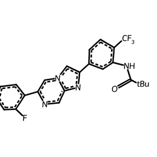 CC(C)(C)C(=O)Nc1cc(-c2cn3cc(-c4ccccc4F)ncc3n2)ccc1C(F)(F)F